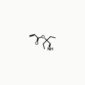 C=CC(=O)OC(C=N)(CC)CC